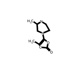 Cc1oc(=O)oc1N1CC[N]C(C)C1